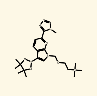 Cn1nnnc1-c1ccc2c(B3OC(C)(C)C(C)(C)O3)cn(COCC[Si](C)(C)C)c2n1